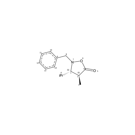 CC(C)[C@H]1[C@H](C)C(=O)ON1Cc1ccccc1